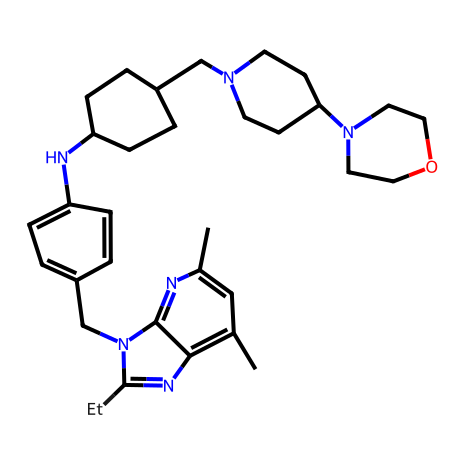 CCc1nc2c(C)cc(C)nc2n1Cc1ccc(NC2CCC(CN3CCC(N4CCOCC4)CC3)CC2)cc1